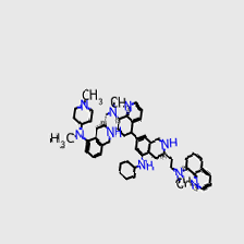 CN1CCC(N(C)c2cccc3c2C[C@H](CN(C)[C@H]2CCC(c4cc5c(c(NC6CCCCC6)c4)C[C@H](CCN(C)[C@H]4CCCc6cccnc64)NC5)c4cccnc42)NC3)CC1